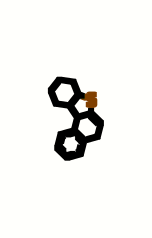 C1=C2SC3CCCCC3C2c2ccccc2C1